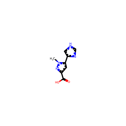 Cn1nc(C(=O)O)cc1-c1c[nH]cn1